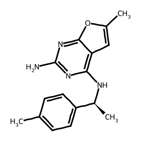 Cc1ccc([C@H](C)Nc2nc(N)nc3oc(C)cc23)cc1